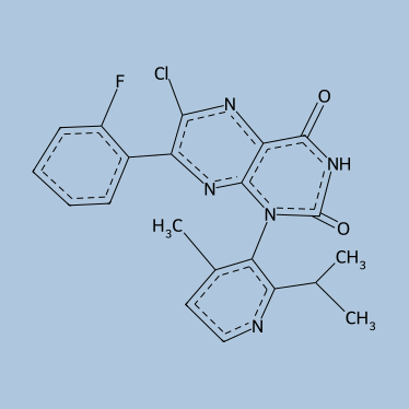 Cc1ccnc(C(C)C)c1-n1c(=O)[nH]c(=O)c2nc(Cl)c(-c3ccccc3F)nc21